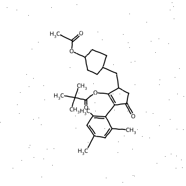 CC(=O)OC1CCC(CC2CC(=O)C(c3c(C)cc(C)cc3C)=C2OC(=O)C(C)(C)C)CC1